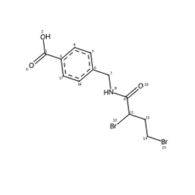 O=C(O)c1ccc(CNC(=O)C(Br)CCBr)cc1